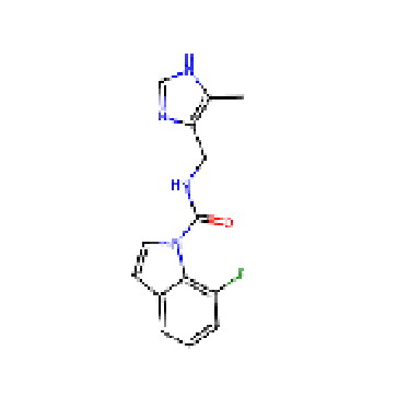 Cc1[nH]cnc1CNC(=O)n1ccc2cccc(F)c21